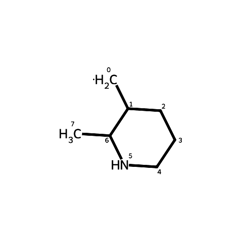 [CH2]C1CCCNC1C